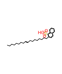 CCCCCCCCC=CCCCCCCCCc1ccc2ccccc2c1S(=O)(=O)O